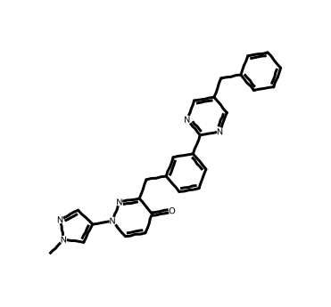 Cn1cc(-n2ccc(=O)c(Cc3cccc(-c4ncc(Cc5ccccc5)cn4)c3)n2)cn1